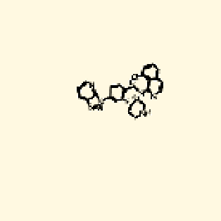 O=C(c1ccc(-n2nnc3cccnc32)cc1F)N(c1nccc2cccc(Cl)c12)[C@@H]1CCCNC1